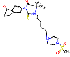 CC1(C)C(=O)N(c2ccc3c(c2)CCC3=O)C(=S)N1CCCCCCN1CCN(S(C)(=O)=O)CC1